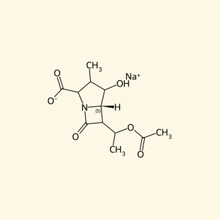 CC(=O)OC(C)C1C(=O)N2C(C(=O)[O-])C(C)C(O)[C@H]12.[Na+]